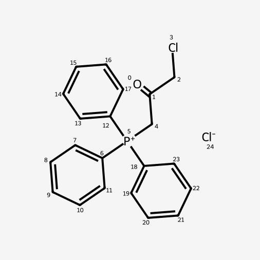 O=C(CCl)C[P+](c1ccccc1)(c1ccccc1)c1ccccc1.[Cl-]